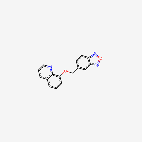 c1cnc2c(OCc3ccc4nonc4c3)cccc2c1